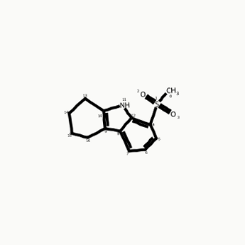 CS(=O)(=O)c1cccc2c3c([nH]c12)CC[CH]C3